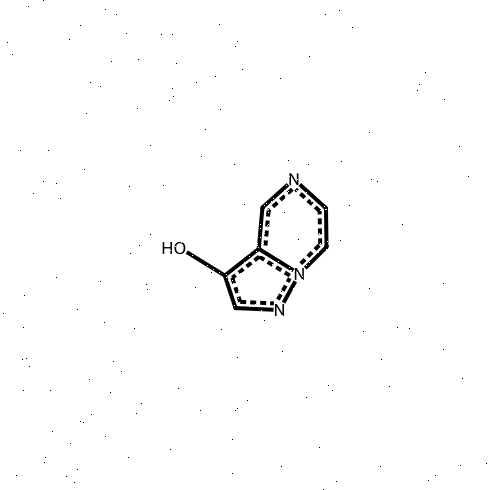 Oc1cnn2ccncc12